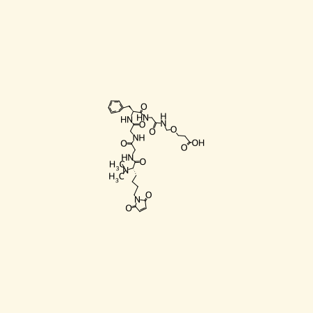 CN(C)[C@@H](CCCCN1C(=O)C=CC1=O)C(=O)NCC(=O)NCC(=O)N[C@@H](Cc1ccccc1)C(=O)NCC(=O)NCOCCC(=O)O